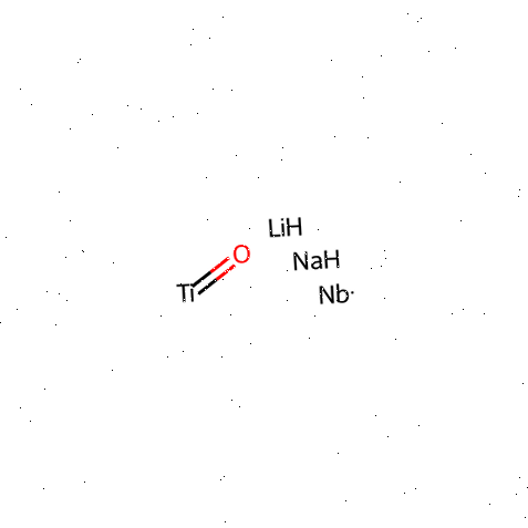 [LiH].[NaH].[Nb].[O]=[Ti]